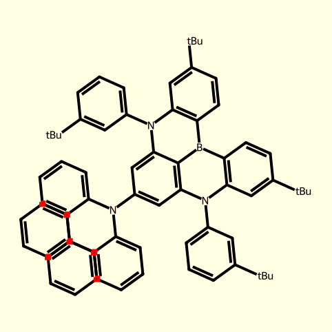 CC(C)(C)c1cccc(N2c3cc(C(C)(C)C)ccc3B3c4ccc(C(C)(C)C)cc4N(c4cccc(C(C)(C)C)c4)c4cc(N(c5ccccc5-c5ccccc5)c5ccccc5-c5ccccc5)cc2c43)c1